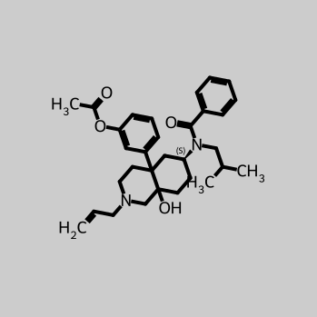 C=CCN1CCC2(c3cccc(OC(C)=O)c3)C[C@@H](N(CC(C)C)C(=O)c3ccccc3)CCC2(O)C1